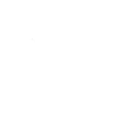 CC1=CC(c2cccs2)=C(C)[CH]1